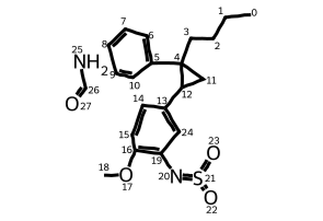 CCCCC1(c2ccccc2)CC1c1ccc(OC)c(N=S(=O)=O)c1.NC=O